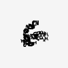 N#Cc1ccc(N2CCN(Cc3ccc4c5c(c(=O)[nH]c4c3)CCCN5)CC2)nc1.O=C(O)CC(O)(CC(=O)O)C(=O)O